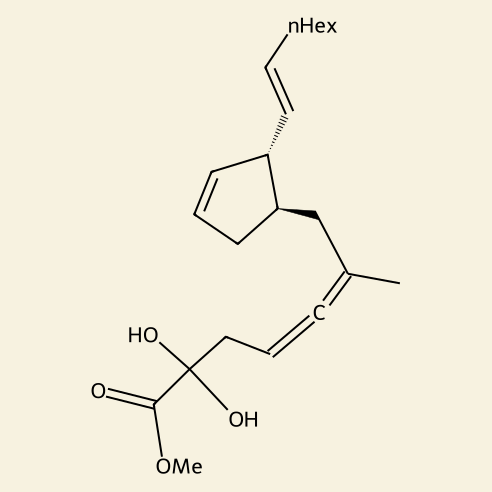 CCCCCCC=C[C@H]1C=CC[C@@H]1CC(C)=C=CCC(O)(O)C(=O)OC